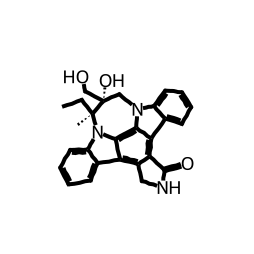 CC[C@]1(C)n2c3ccccc3c3c4c(c5c6ccccc6n(c5c32)C[C@]1(O)CO)C(=O)NC4